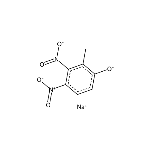 Cc1c([O-])ccc([N+](=O)[O-])c1[N+](=O)[O-].[Na+]